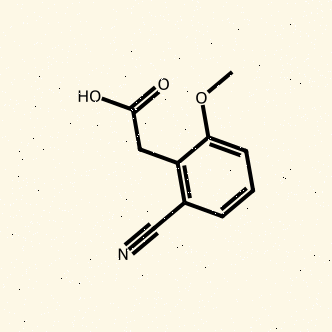 COc1cccc(C#N)c1CC(=O)O